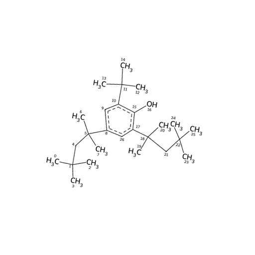 CC(C)(C)CC(C)(C)c1cc(C(C)(C)C)c(O)c(C(C)(C)CC(C)(C)C)c1